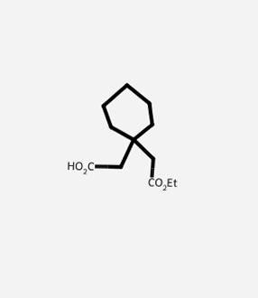 CCOC(=O)CC1(CC(=O)O)CCCCC1